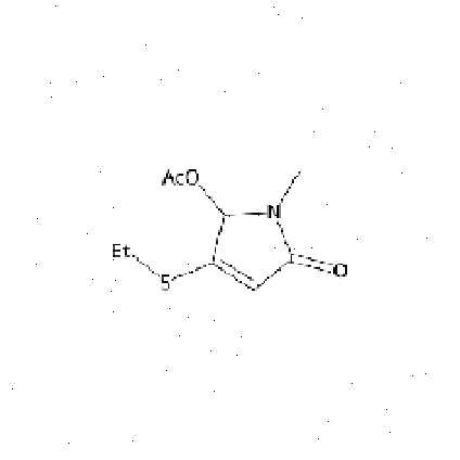 CCSC1=CC(=O)N(C)C1OC(C)=O